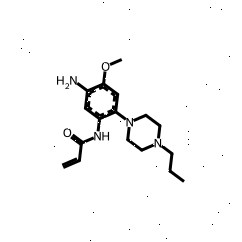 C=CC(=O)Nc1cc(N)c(OC)cc1N1CCN(CCC)CC1